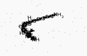 NCCOCCOCCOCCOCCOCCNC(=O)CN1CCN(C(=O)c2ccc(Nc3nc(C4CC4)cn4c(-c5cn[nH]c5)cnc34)c(F)c2)CC1